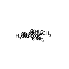 COc1cc(-c2ccc(OS(C)(=O)=O)cc2)c(OC)c(OS(C)(=O)=O)c1-c1ccc(OCC=C(C)C)c(C(F)(F)F)c1